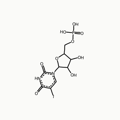 O=c1[nH]c(=O)n(C2OC(COP(=O)(O)O)C(O)C2O)cc1I